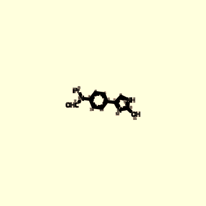 CC(C)N(C=O)c1ccc(-c2c[nH]c(O)n2)cc1